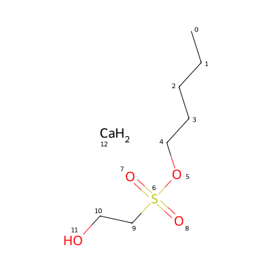 CCCCCOS(=O)(=O)CCO.[CaH2]